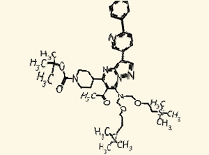 CC(=O)c1c(C2CCN(C(=O)OC(C)(C)C)CC2)nc2c(-c3ccc(-c4ccccc4)nc3)cnn2c1N(COCC[Si](C)(C)C)COCC[Si](C)(C)C